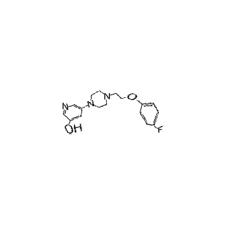 Oc1cncc(N2CCN(CCOc3ccc(F)cc3)CC2)c1